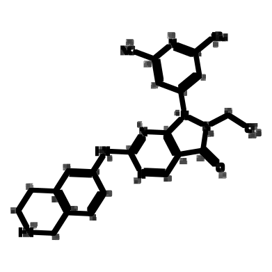 CC(C)(C)c1cc(-n2c3nc(Nc4ccc5c(c4)CCNC5)ncc3c(=O)n2CC(F)(F)F)cc(C#N)n1